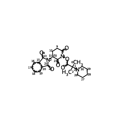 CC(C)(C(=O)ON1C(=O)CC[C@H](N2C(=O)c3ccccc3C2=O)C1=O)N1CCCCC1